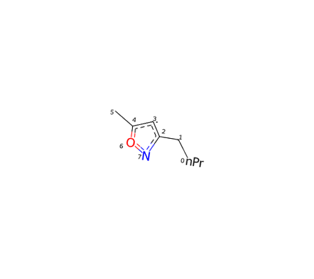 CCCCc1[c]c(C)on1